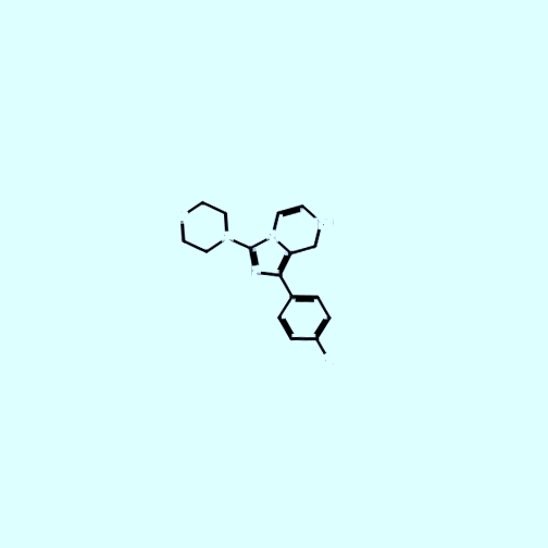 Clc1ccc(-c2nc(N3CCOCC3)n3c2CNC=C3)cc1